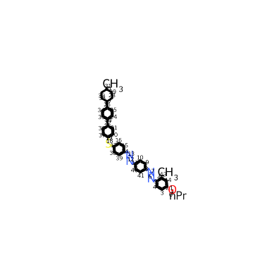 CCCOc1ccc(N=Nc2ccc(N=Nc3ccc(Sc4ccc(-c5ccc(C6CCC(C)CC6)cc5)cc4)cc3)cc2)c(C)c1